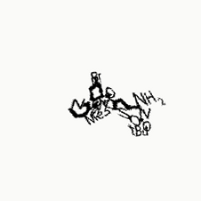 CSc1sc(/C(N)=N\C(=O)OC(C)(C)C)cc1S(=O)(=NS(=O)(=O)c1cccnc1)c1cccc(Br)c1